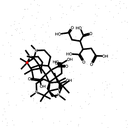 CN1CCC(C(CC(=O)O)(C(=O)O)C(C(=O)O)(C2CCN(C)C(C)(C)C2(C)C)C(C(=O)O)(C2CCN(C)C(C)(C)C2(C)C)C2CCN(C)C(C)(C)C2(C)C)C(C)(C)C1(C)C.O=C(O)CC(C(=O)O)C(CC(=O)O)C(=O)O